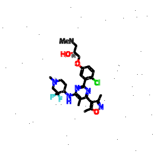 CNC[C@@H](O)COc1ccc(Cl)c(-c2nc(NC3CCN(C)CC3(F)F)c(C)c(-c3c(C)noc3C)n2)c1